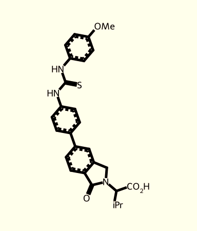 COc1ccc(NC(=S)Nc2ccc(-c3ccc4c(c3)CN(C(C(=O)O)C(C)C)C4=O)cc2)cc1